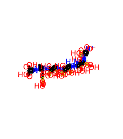 Cc1cc(N=Nc2c(S(=O)(=O)O)cc3c(S(=O)(=O)O)c(N=Nc4c(S(=O)(=O)O)cc5c(S(=O)(=O)O)c(N=Nc6cc(S(=O)(=O)O)c7cc(SOOO)c(N=Nc8ccc([N+](=O)[O-])cc8S(=O)(=O)O)c(O)c7c6N)ccc5c4O)ccc3c2O)c(OCCCSOOO)cc1N=Nc1cc(C(=O)O)cc(C(=O)O)c1